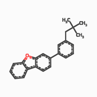 CC(C)(C)Cc1cccc(-c2ccc3c(c2)oc2ccccc23)c1